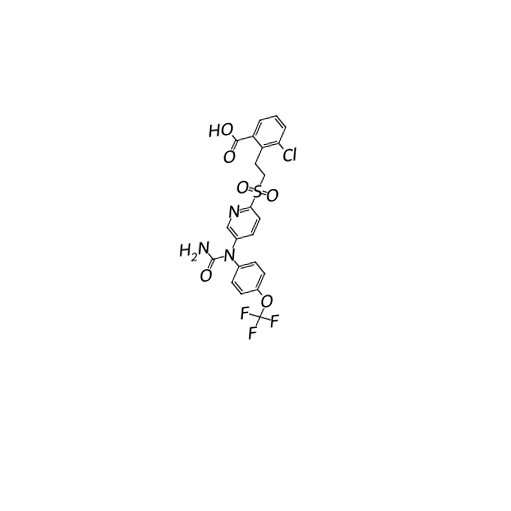 NC(=O)N(c1ccc(OC(F)(F)F)cc1)c1ccc(S(=O)(=O)CCc2c(Cl)cccc2C(=O)O)nc1